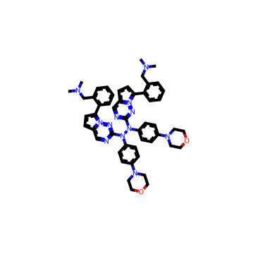 CN(C)Cc1ccccc1-c1ccc2cnc(N(c3ccc(N4CCOCC4)cc3)N(c3ccc(N4CCOCC4)cc3)c3ncc4ccc(-c5ccccc5CN(C)C)n4n3)nn12